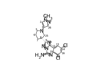 Cn1cc(N2CCC[C@@H](c3nc4c5cc(Cl)cc(Cl)c5nc(N)n4n3)C2)cn1